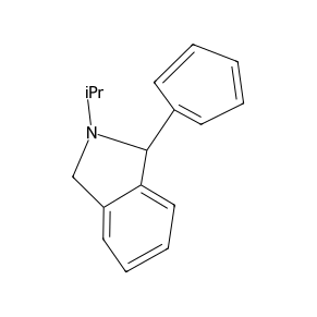 CC(C)N1Cc2ccccc2C1c1ccccc1